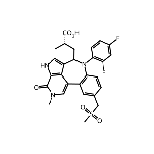 C[C@@H](CC1c2c[nH]c3c(=O)n(C)cc(c23)-c2cc(CS(C)(=O)=O)ccc2N1c1ccc(F)cc1F)C(=O)O